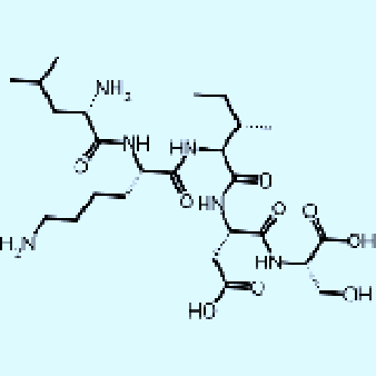 CC[C@H](C)[C@H](NC(=O)[C@H](CCCCN)NC(=O)[C@@H](N)CC(C)C)C(=O)N[C@@H](CC(=O)O)C(=O)N[C@@H](CO)C(=O)O